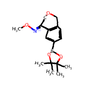 CO/N=C1\COCc2ccc(B3OC(C)(C)C(C)(C)O3)cc21